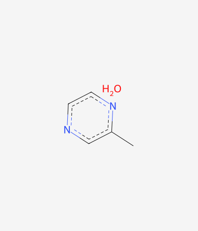 Cc1cnccn1.O